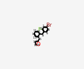 Fc1cc(Br)ccc1CC1C=CC=C[C@@H]1CC1CCO1